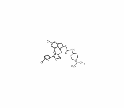 CC(C)N1CCC(NC(=O)Oc2cc3cc(Cl)cc(Cl)c3n2Cc2cc(-c3ccc(Cl)s3)on2)CC1